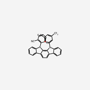 N#Cc1cccc(C#N)c1-n1c2ccccc2c2ccc3c4ccccc4n(-c4cc(C(F)(F)F)cc(C(F)(F)F)c4)c3c21